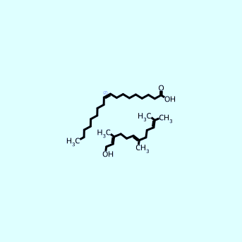 CC(C)=CCCC(C)=CCCC(C)=CCO.CCCCCCCC/C=C\CCCCCCCC(=O)O